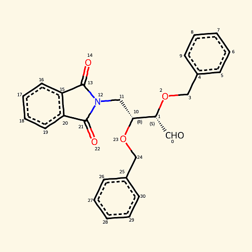 O=C[C@@H](OCc1ccccc1)[C@@H](CN1C(=O)c2ccccc2C1=O)OCc1ccccc1